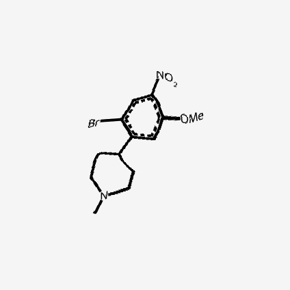 COc1cc(C2CCN(C)CC2)c(Br)cc1[N+](=O)[O-]